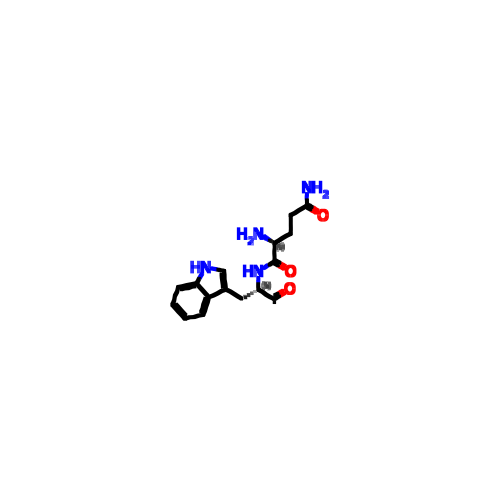 NC(=O)CC[C@H](N)C(=O)N[C@H]([C]=O)Cc1c[nH]c2ccccc12